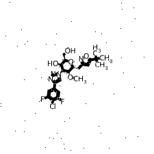 CO[C@@H]1[C@@H](n2cc(-c3cc(F)c(Cl)c(F)c3)nn2)[C@@H](O)[C@@H](CO)O[C@@H]1Cc1cc(C(C)(C)C)on1